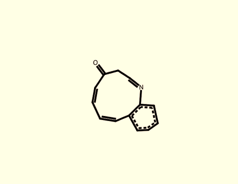 O=C1C=CC=Cc2ccccc2N=CC1